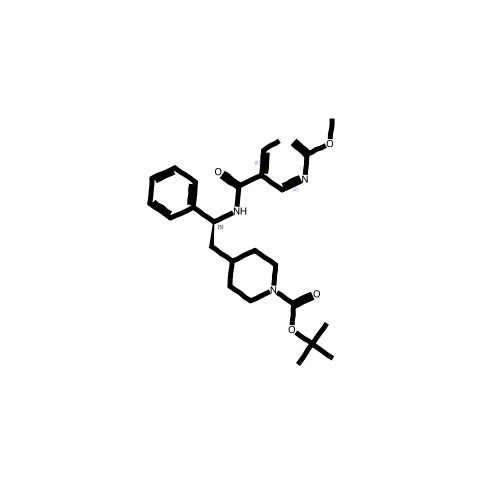 C=C(/N=C\C(=C/C)C(=O)N[C@@H](CC1CCN(C(=O)OC(C)(C)C)CC1)c1ccccc1)OC